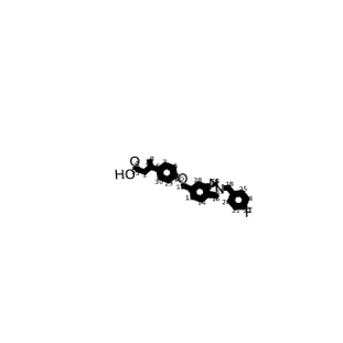 CC(CC(=O)O)c1ccc(OCc2ccc3cn(Cc4ccc(F)cc4)nc3c2)cc1